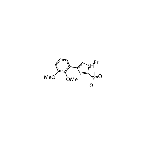 CC[SH]1C=C(c2cccc(OC)c2OC)C=C1[SH](=O)=O